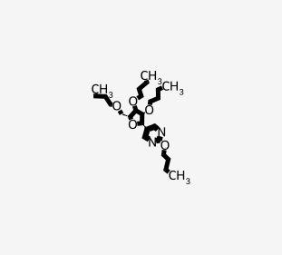 CCCCOC[C@H]1O[C@@H](c2cnc(OCCCC)nc2)[C@@H](OCCCC)C1OCCCC